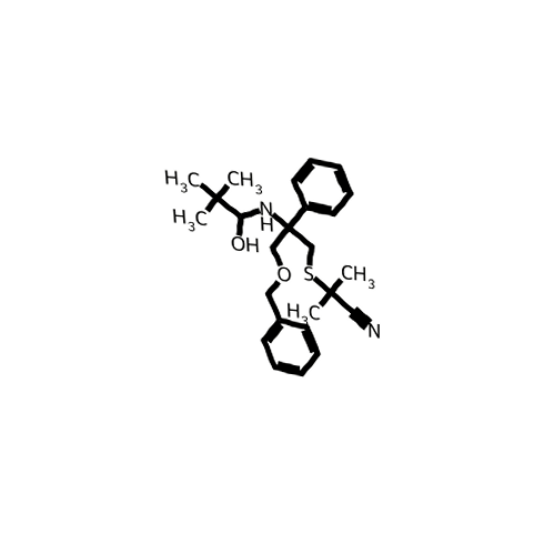 CC(C)(C#N)SCC(COCc1ccccc1)(NC(O)C(C)(C)C)c1ccccc1